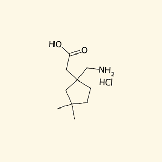 CC1(C)CCC(CN)(CC(=O)O)C1.Cl